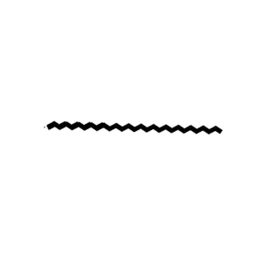 [CH]=CC=CC=CC=CC=CCCCCCCCCCCCCCCCCCCC